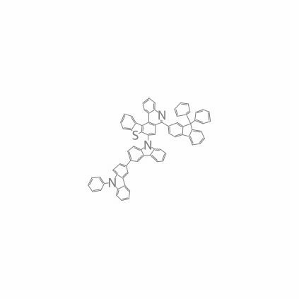 c1ccc(-n2c3ccccc3c3cc(-c4ccc5c(c4)c4ccccc4n5-c4cc5c(-c6ccc7c(c6)C(c6ccccc6)(c6ccccc6)c6ccccc6-7)nc6ccccc6c5c5c4sc4ccccc45)ccc32)cc1